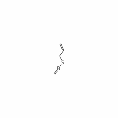 C=BSCC=C